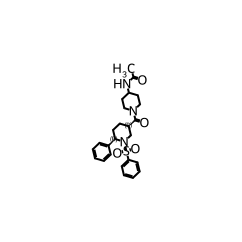 CC(=O)NC1CCN(C(=O)[C@@H]2CC[C@H](c3ccccc3)N(S(=O)(=O)c3ccccc3)C2)CC1